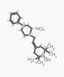 CC1(C)CC(=CCN2CCN(c3ccccc3)CC2)CC(C)(C)N1O.Cl